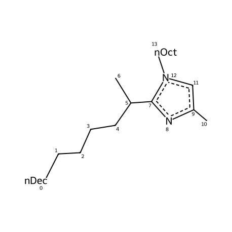 CCCCCCCCCCCCCCC(C)c1nc(C)cn1CCCCCCCC